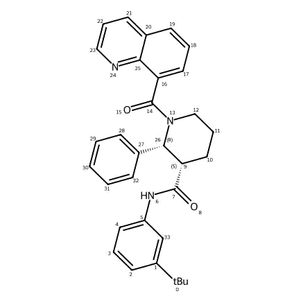 CC(C)(C)c1cccc(NC(=O)[C@H]2CCCN(C(=O)c3cccc4cccnc34)[C@H]2c2ccccc2)c1